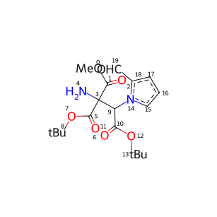 COC(=O)C(N)(C(=O)OC(C)(C)C)C(C(=O)OC(C)(C)C)n1cccc1C=O